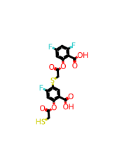 O=C(CS)Oc1cc(F)c(SCC(=O)Oc2cc(F)cc(F)c2C(=O)O)cc1C(=O)O